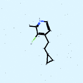 Cc1nccc(CCC2CC2)c1F